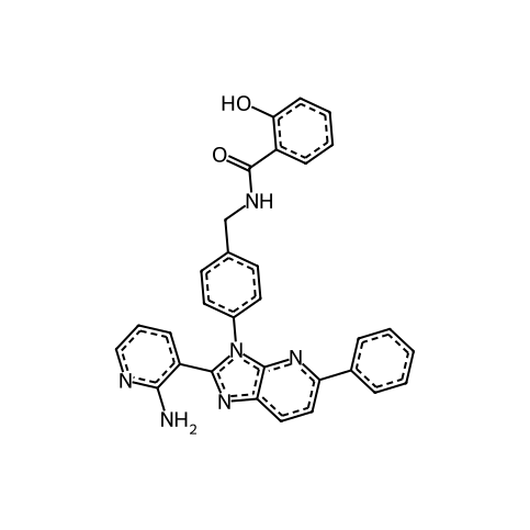 Nc1ncccc1-c1nc2ccc(-c3ccccc3)nc2n1-c1ccc(CNC(=O)c2ccccc2O)cc1